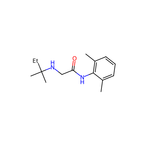 CCC(C)(C)NCC(=O)Nc1c(C)cccc1C